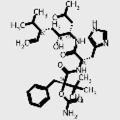 C=C[C@@H](C[C@@H](O)[C@H](CC(C)C)NC(=O)[C@H](Cc1c[nH]cn1)NC(=O)[C@@](Cc1ccccc1)(OC(N)=O)C(C)(C)C)C(C)C